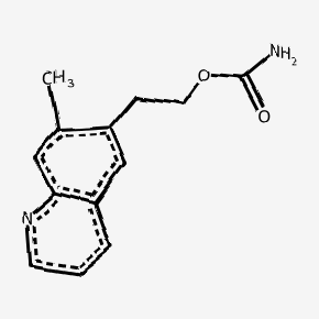 Cc1cc2ncccc2cc1CCOC(N)=O